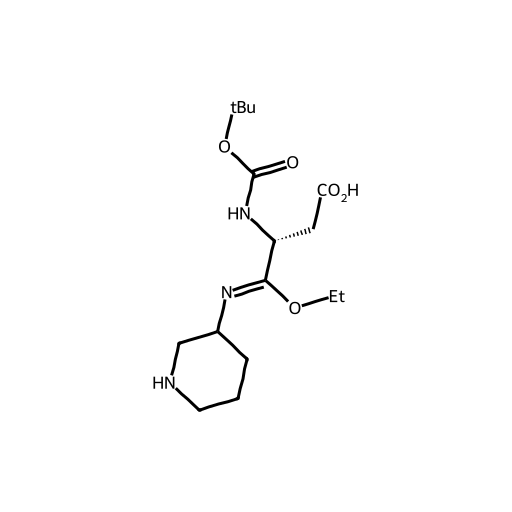 CCOC(=NC1CCCNC1)[C@@H](CC(=O)O)NC(=O)OC(C)(C)C